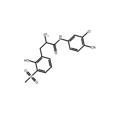 CS(=O)(=O)c1cccc(CC(C(=O)Nc2ccc(C#N)c(Cl)c2)C(F)(F)F)c1O